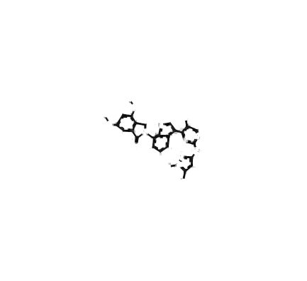 COc1cc(OC)c2c(c1)C(=O)N(c1cccc3c(-c4nc(Nc5cc(C)n(C)n5)ncc4C)c[nH]c13)C2